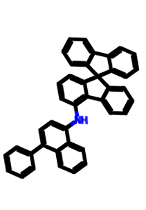 c1ccc(-c2ccc(Nc3cccc4c3-c3ccccc3C43c4ccccc4-c4ccccc43)c3ccccc23)cc1